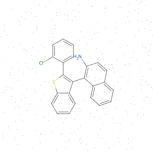 Nc1ccc2ccccc2c1-c1c(-c2ccccc2Cl)sc2ccccc12